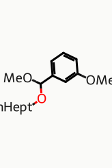 CCCCCCCOC(OC)c1cccc(OC)c1